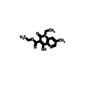 CCOC(=O)c1c(O)c2ncc(C)cc2n(CC)c1=O